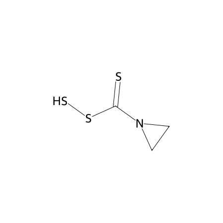 S=C(SS)N1CC1